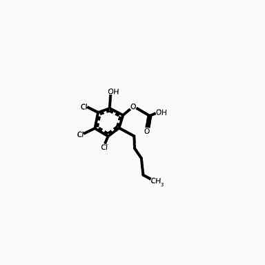 CCCCCc1c(Cl)c(Cl)c(Cl)c(O)c1OC(=O)O